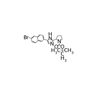 CC(C)(C)OC(=O)N1CCCC1c1ncc(-c2ccc3cc(Br)ccc3c2)[nH]1